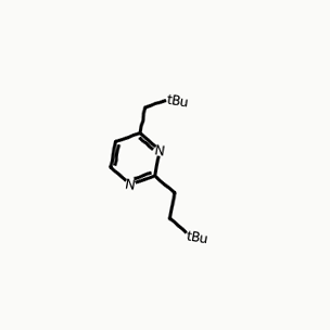 CC(C)(C)CCc1nccc(CC(C)(C)C)n1